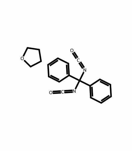 C1CCOC1.O=C=NC(N=C=O)(c1ccccc1)c1ccccc1